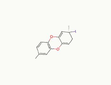 Cc1ccc2c(c1)OC1=CC[C@](C)(I)C=C1O2